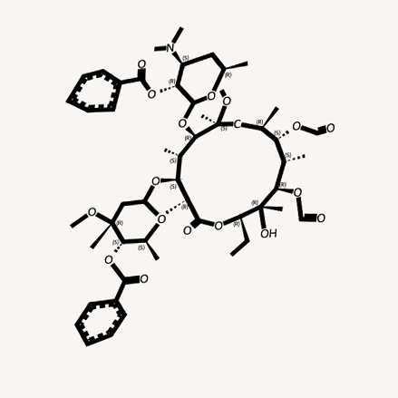 CC[C@H]1OC(=O)[C@H](C)[C@@H](OC2C[C@@](C)(OC)[C@@H](OC(=O)c3ccccc3)[C@H](C)O2)[C@H](C)[C@@H](OC2O[C@H](C)C[C@H](N(C)C)[C@H]2OC(=O)c2ccccc2)[C@@](C)(OC)C[C@@H](C)[C@H](OC=O)[C@H](C)[C@@H](OC=O)[C@]1(C)O